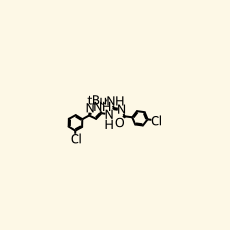 CC(C)(C)N/C(=N/C(=O)c1ccc(Cl)cc1)Nc1cc(-c2cccc(Cl)c2)n[nH]1